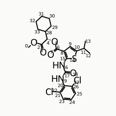 COC(=O)[C@@H](OC(=O)c1cc(C(C)C)sc1NC(=O)Nc1c(Cl)cccc1Cl)C1CCCCC1